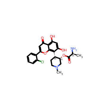 C[C@H](N)C(=O)O[C@@H]1CN(C)CC[C@@H]1c1c(O)cc(O)c2c(=O)cc(-c3ccccc3Cl)oc12